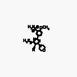 COc1ccc(-c2nc(SC)c(C#N)c(N3CCOCC3)n2)cc1S(N)(=O)=O